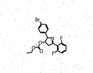 CCOC(=O)OC1CC(c2c(F)cccc2F)=NC1c1ccc(Br)cc1